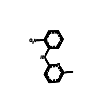 Cc1cccc(Nc2ccccc2[N+](=O)[O-])n1